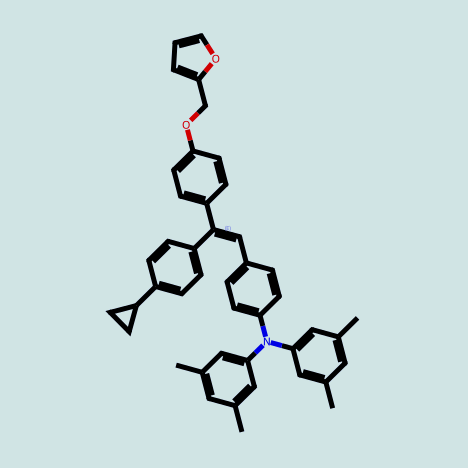 Cc1cc(C)cc(N(c2ccc(/C=C(/c3ccc(OCc4ccco4)cc3)c3ccc(C4CC4)cc3)cc2)c2cc(C)cc(C)c2)c1